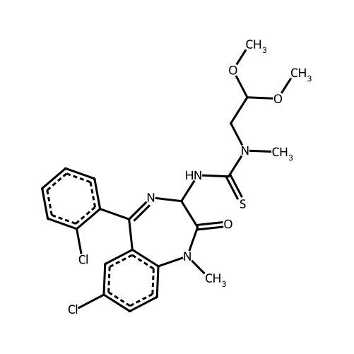 COC(CN(C)C(=S)NC1N=C(c2ccccc2Cl)c2cc(Cl)ccc2N(C)C1=O)OC